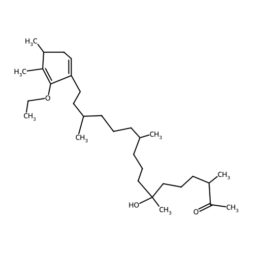 CCOC1=C(C)C(C)CC=C1CCC(C)CCCC(C)CCCC(C)(O)CCCC(C)C(C)=O